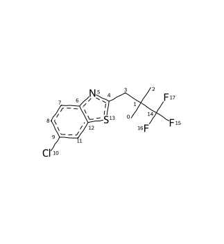 CC(C)(Cc1nc2ccc(Cl)cc2s1)C(F)(F)F